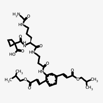 CC(C)COC(=O)/C=C/c1ccc(/C=C/C(=O)OCC(C)C)c(NC(=O)CCNC(=O)[C@H](CCCNC(N)=O)NC(=O)C2(C(=O)O)CCC2)c1